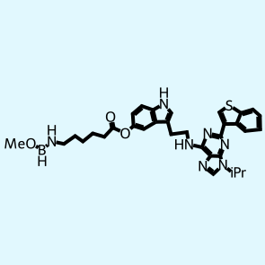 COBNCCCCCC(=O)Oc1ccc2[nH]cc(CCNc3nc(-c4csc5ccccc45)nc4c3ncn4C(C)C)c2c1